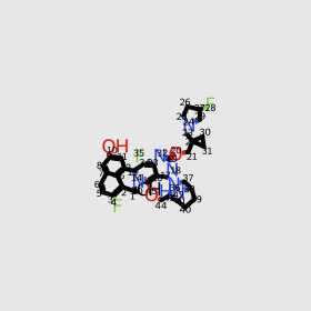 C#Cc1c(F)ccc2cc(O)cc(-c3nc4c5c(nc(OCC6(CN7CCC(F)C7)CC6)nc5c3F)N3CC5CCC(N5)C3CO4)c12